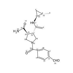 C=C(N[C@H]1C[C@@H]1C)[C@@H]1CN(C(=O)c2ccc(C=O)cc2)C[C@H]1C(N)=O